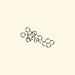 CC1(C)c2cc(-c3ccccc3[Si](c3ccccc3)(c3ccccc3)c3ccccc3)ccc2-c2ccc(-c3ccc4ccc5cccc6ccc3c4c56)cc21